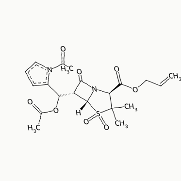 C=CCOC(=O)[C@@H]1N2C(=O)[C@@H](C(OC(C)=O)c3cccn3C(C)=O)[C@H]2S(=O)(=O)C1(C)C